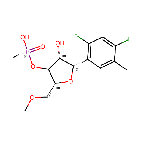 COC[C@H]1O[C@@H](c2cc(C)c(F)cc2F)[C@@H](O)C1O[P@](C)(=O)O